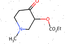 CCOC(=O)OC1CN(C)CCC1=O